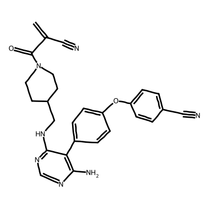 C=C(C#N)C(=O)N1CCC(CNc2ncnc(N)c2-c2ccc(Oc3ccc(C#N)cc3)cc2)CC1